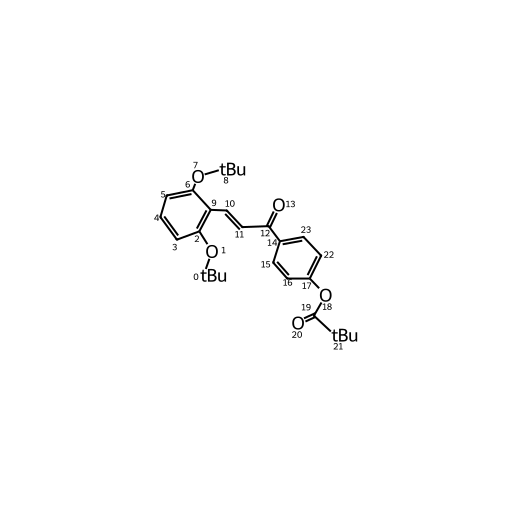 CC(C)(C)Oc1cccc(OC(C)(C)C)c1C=CC(=O)c1ccc(OC(=O)C(C)(C)C)cc1